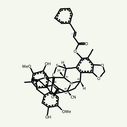 C=CCN1C2c3c(cc(C)c(OC)c3O)CC1[C@H](C#N)N1[C@H]2[C@@H]2SC[C@]3(NCCc4cc(O)c(OC)cc43)C(=O)OC[C@H]1c1c3c(c(C)c(OC(=O)/C=C/c4ccccc4)c12)OCO3